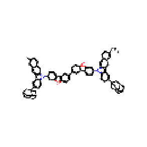 Cc1ccc2cc3c(cc2c1)c1cc(C24CC5CC(CC(C5)C2)C4)ccc1n3-c1ccc2c(c1)oc1ccc(-c3ccc4oc5cc(-n6c7ccc(C89CC%10CC(CC(C%10)C8)C9)cc7c7cc8cc(C(F)(F)F)ccc8cc76)ccc5c4c3)cc12